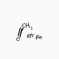 C=O.[Re].[Rh]